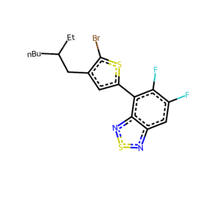 CCCCC(CC)Cc1cc(-c2c(F)c(F)cc3nsnc23)sc1Br